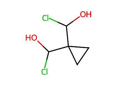 OC(Cl)C1(C(O)Cl)CC1